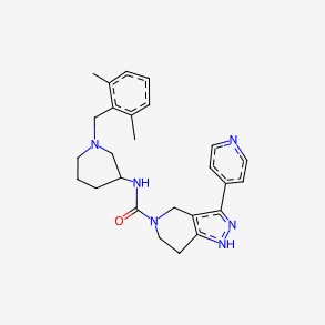 Cc1cccc(C)c1CN1CCCC(NC(=O)N2CCc3[nH]nc(-c4ccncc4)c3C2)C1